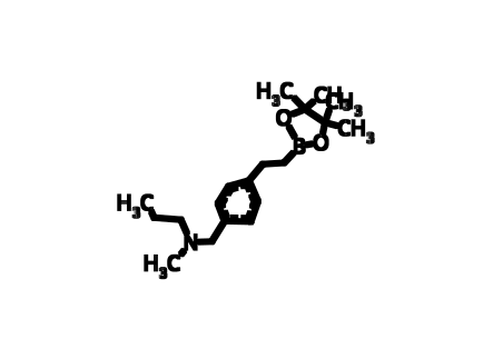 CCCN(C)Cc1ccc(CCB2OC(C)(C)C(C)(C)O2)cc1